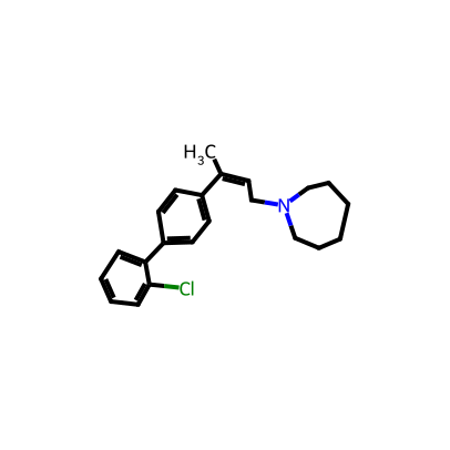 CC(=CCN1CCCCCC1)c1ccc(-c2ccccc2Cl)cc1